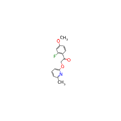 COc1ccc(C(=O)COc2cccc(C)n2)c(F)c1